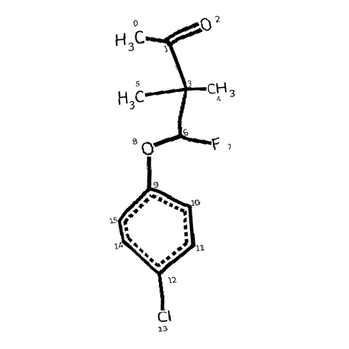 CC(=O)C(C)(C)C(F)Oc1ccc(Cl)cc1